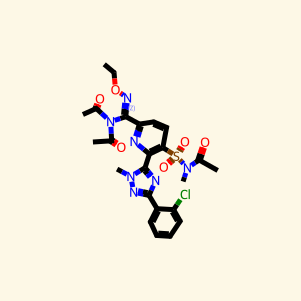 CCO/N=C(/c1ccc(S(=O)(=O)N(C)C(C)=O)c(-c2nc(-c3ccccc3Cl)nn2C)n1)N(C(C)=O)C(C)=O